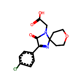 O=C(O)CN1C(=O)C(c2ccc(Cl)cc2)=NC12CCOCC2